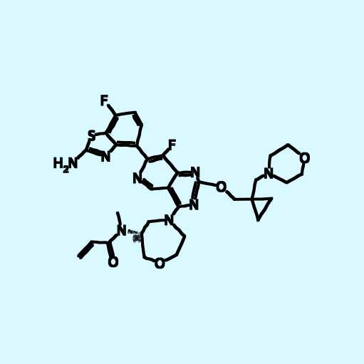 C=CC(=O)N(C)[C@H]1COCCN(c2nc(OCC3(CN4CCOCC4)CC3)nc3c(F)c(-c4ccc(F)c5sc(N)nc45)ncc23)C1